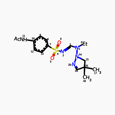 CCN(C=NS(=O)(=O)c1ccc(NC(C)=O)cc1)N1CC(C)(C)C=N1